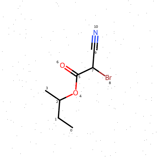 CCC(C)OC(=O)C(Br)C#N